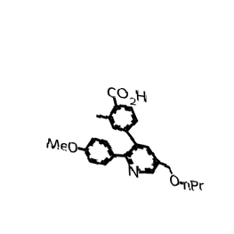 CCCOCc1cnc(-c2ccc(OC)cc2)c(-c2ccc(C(=O)O)c(C)c2)c1